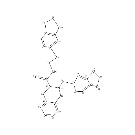 O=C(NCCc1ccc2c(c1)OCO2)C1Cc2ccccc2CN1CC1C=C2OCOC2=CC1